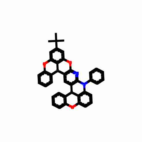 CC(C)(C)c1cc2c3c(c1)Oc1nc4c(cc1B3c1ccccc1O2)B1c2ccccc2Oc2cccc(c21)N4c1ccccc1